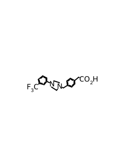 O=C(O)Cc1ccc(CN2CCN(c3cccc(C(F)(F)F)c3)CC2)cc1